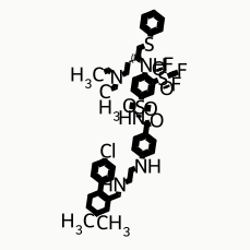 CCN(CC)CC[C@H](CSc1ccccc1)Nc1ccc(S(=O)(=O)NC(=O)c2ccc(NCCNCC3=C(c4ccc(Cl)cc4)CCC(C)(C)C3)cc2)cc1S(=O)(=O)C(F)(F)F